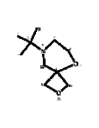 CC(C)(C)N1CCOC2(COC2)C1